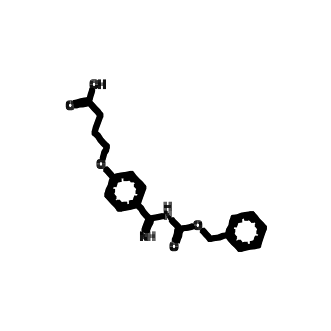 N=C(NC(=O)OCc1ccccc1)c1ccc(OCCCC(=O)O)cc1